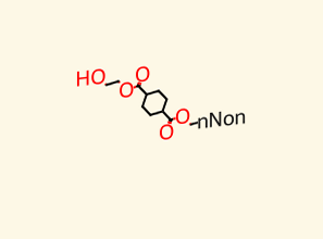 CCCCCCCCCCOC(=O)C1CCC(C(=O)OCCO)CC1